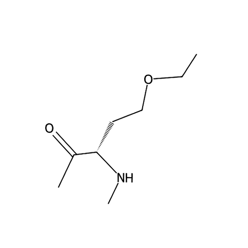 CCOCC[C@H](NC)C(C)=O